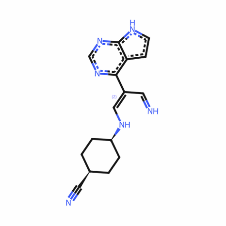 N#C[C@H]1CC[C@@H](N/C=C(\C=N)c2ncnc3[nH]ccc23)CC1